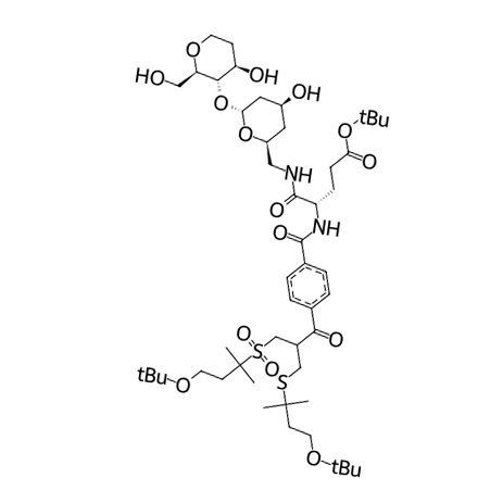 CC(C)(C)OCCC(C)(C)SCC(CS(=O)(=O)C(C)(C)CCOC(C)(C)C)C(=O)c1ccc(C(=O)N[C@@H](CCC(=O)OC(C)(C)C)C(=O)NC[C@@H]2C[C@H](O)C[C@@H](O[C@H]3[C@H](O)CCO[C@@H]3CO)O2)cc1